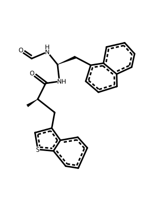 C[C@H](Cc1csc2ccccc12)C(=O)N[C@H](Cc1cccc2ccccc12)NC=O